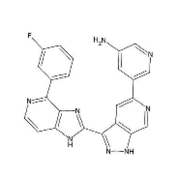 Nc1cncc(-c2cc3c(-c4nc5c(-c6cccc(F)c6)nccc5[nH]4)n[nH]c3cn2)c1